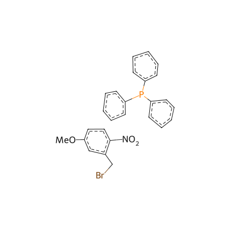 COc1ccc([N+](=O)[O-])c(CBr)c1.c1ccc(P(c2ccccc2)c2ccccc2)cc1